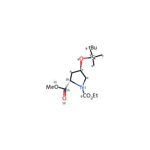 CCOC(=O)N1C[C@H](O[Si](C)(C)C(C)(C)C)C[C@H]1C(=O)OC